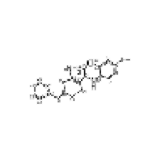 NC1=C(C(=O)Nc2ccc(F)cc2Cl)CCN(Cc2ccccc2)C1